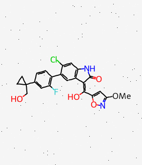 COc1cc(/C(O)=C2\C(=O)Nc3cc(Cl)c(-c4ccc(C5(CO)CC5)cc4F)cc32)on1